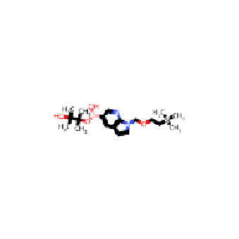 CC(C)(O)C(C)(C)OB(O)c1cnc2c(ccn2COCC[Si](C)(C)C)c1